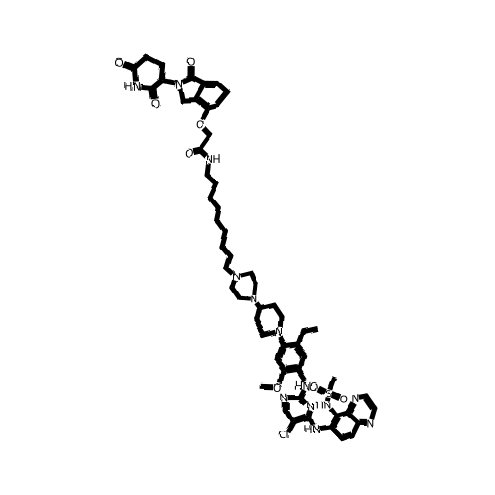 CCc1cc(Nc2ncc(Cl)c(Nc3ccc4nccnc4c3NS(C)(=O)=O)n2)c(OC)cc1N1CCC(N2CCN(CCCCCCCCCNC(=O)COc3cccc4c3CN(C3CCC(=O)NC3=O)C4=O)CC2)CC1